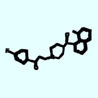 Cc1cccc2cccc(C(=O)C3CCN(CCC(=O)c4ccc(F)cc4)CC3)c12